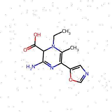 CCN1C(C)=C(c2cnco2)N=C(N)C1C(=O)O